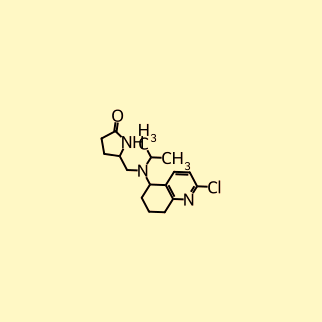 CC(C)N(CC1CCC(=O)N1)C1CCCc2nc(Cl)ccc21